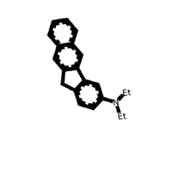 CCN(CC)c1ccc2c(c1)-c1cc3ccccc3cc1C2